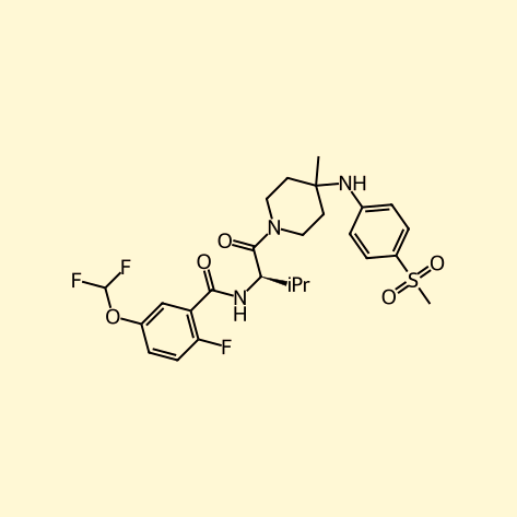 CC(C)[C@@H](NC(=O)c1cc(OC(F)F)ccc1F)C(=O)N1CCC(C)(Nc2ccc(S(C)(=O)=O)cc2)CC1